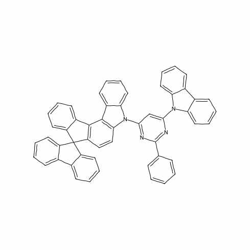 c1ccc(-c2nc(-n3c4ccccc4c4ccccc43)cc(-n3c4ccccc4c4c5c(ccc43)C3(c4ccccc4-c4ccccc43)c3ccccc3-5)n2)cc1